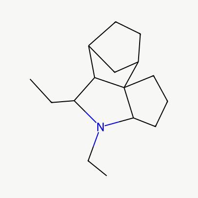 CCC1C2C3CCC(C3)C23CCCC3N1CC